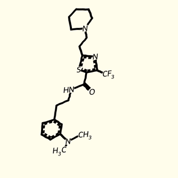 CN(C)c1cccc(CCNC(=O)c2sc(CCN3CCCCC3)nc2C(F)(F)F)c1